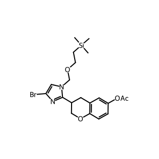 CC(=O)Oc1ccc2c(c1)CC(c1nc(Br)cn1COCC[Si](C)(C)C)CO2